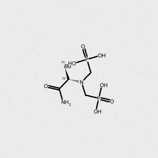 CC[C@H](C)[C@@H](C(N)=O)N(CP(=O)(O)O)CP(=O)(O)O